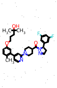 Cc1ccc(OCCCC(C)(C)O)cc1-c1ccnc(N2CCC(C(=O)N3N=CCC3c3cc(F)cc(F)c3)CC2)c1